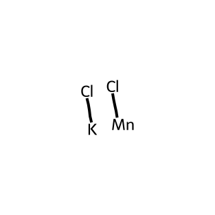 [Cl][K].[Cl][Mn]